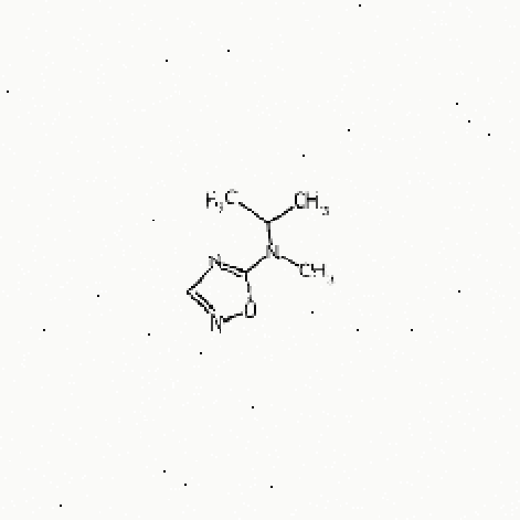 CC(C)N(C)c1ncno1